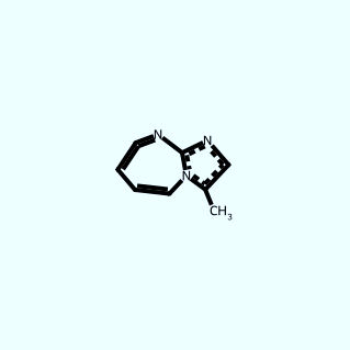 Cc1cnc2n1C=CC=C=N2